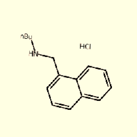 CCCCNCc1cccc2ccccc12.Cl